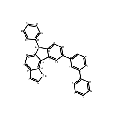 c1ccc(-c2cccc(-c3ccc4c(c3)c3c5sccc5ccc3n4-c3ccccc3)c2)cc1